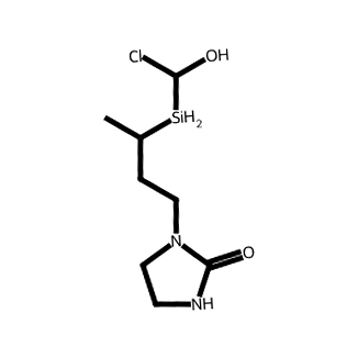 CC(CCN1CCNC1=O)[SiH2]C(O)Cl